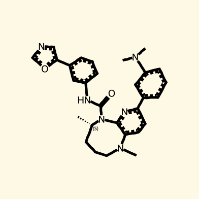 C[C@H]1CCCN(C)c2ccc(-c3cccc(N(C)C)c3)nc2N1C(=O)Nc1cccc(-c2cnco2)c1